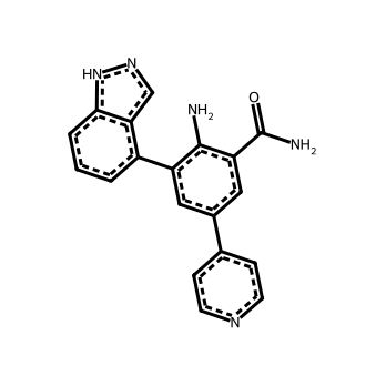 NC(=O)c1cc(-c2ccncc2)cc(-c2cccc3[nH]ncc23)c1N